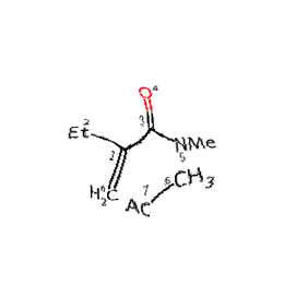 C=C(CC)C(=O)NC.CC(C)=O